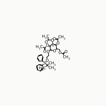 CC(=O)OC[C@H]1O[C@@H](OCCO[Si](c2ccccc2)(c2ccccc2)C(C)(C)C)[C@H](OC(C)=O)[C@@H](OC(C)=O)[C@@H]1OC(C)=O